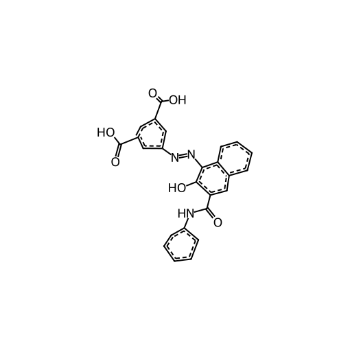 O=C(O)c1cc(/N=N/c2c(O)c(C(=O)Nc3ccccc3)cc3ccccc23)cc(C(=O)O)c1